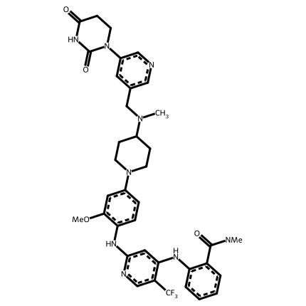 CNC(=O)c1ccccc1Nc1cc(Nc2ccc(N3CCC(N(C)Cc4cncc(N5CCC(=O)NC5=O)c4)CC3)cc2OC)ncc1C(F)(F)F